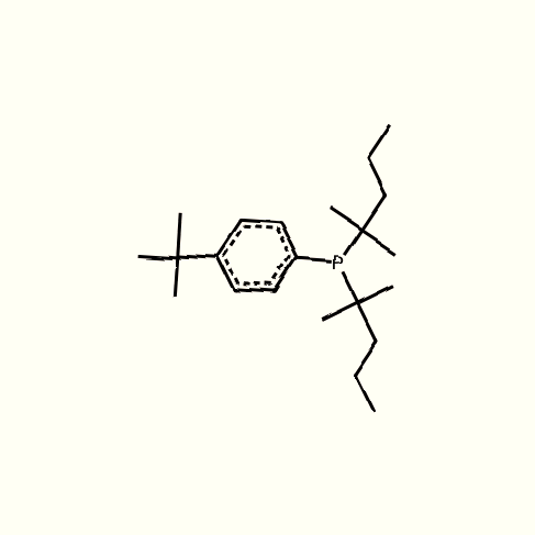 CCCC(C)(C)P(c1ccc(C(C)(C)C)cc1)C(C)(C)CCC